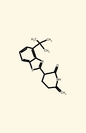 C=C1CCC(c2nc3c(C(C)(C)C)cccc3s2)C(=O)N1